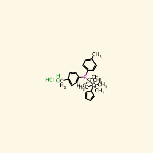 Cc1ccc(P(c2ccc(C)cc2)[Si](C)(C)[Cr]([CH3])([CH3])([CH3])([CH3])[CH]2C=CC=C2)cc1.Cl.Cl